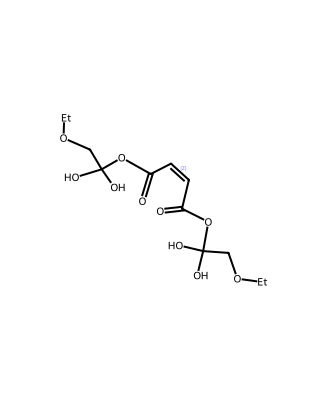 CCOCC(O)(O)OC(=O)/C=C\C(=O)OC(O)(O)COCC